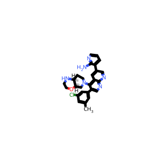 Cc1cc(Cl)cc(-c2cnc3ncc(-c4cccnc4N)cc3c2N2CC[C@@H]3NCCO[C@H]3C2)c1